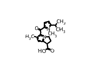 Cc1cc2n(c1C(=O)c1ccc(C(C)C)n1C)CCC2C(=O)O